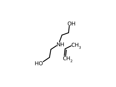 C=CC.OCCNCCO